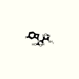 Nc1nonc1C1=NOC(O)N1C1Cc2ccc(F)cc21